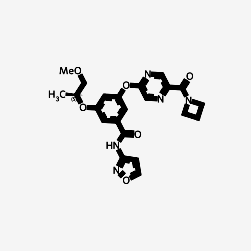 COC[C@H](C)Oc1cc(Oc2cnc(C(=O)N3CCC3)cn2)cc(C(=O)Nc2ccon2)c1